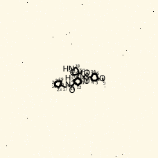 COc1ccc(S(=O)(=O)N2c3ccc(C(=O)NCc4ccccc4)cc3C3(CCNCC3)C2C)cc1